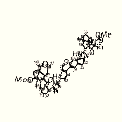 COC(=O)N[C@H](C(=O)N1[C@H](c2nc3ccc4cc5c(cc4c3[nH]2)OCc2cc(-c3cnc([C@@H]4CC[C@H](C)N4C(=O)[C@@H](NC(=O)OC)C4C[C@@H](C)O[C@H](C)C4)[nH]3)ccc2-5)C[C@@H]2CCC[C@@H]21)C(C)C